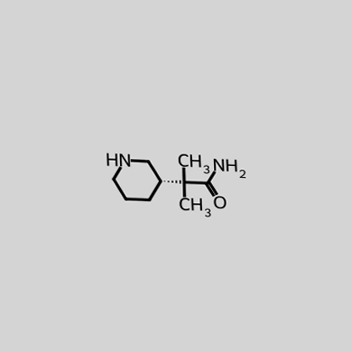 CC(C)(C(N)=O)[C@@H]1CCCNC1